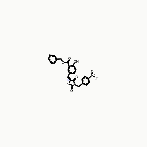 O=C(OCc1ccccc1)c1cc(/C=C2/SC(=O)N(Cc3ccc([N+](=O)[O-])cc3)C2=O)ccc1O